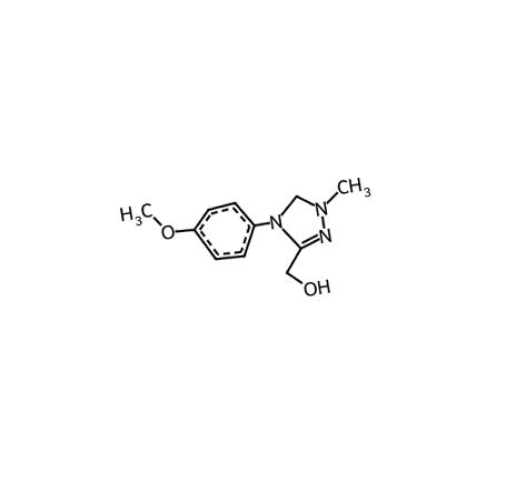 COc1ccc(N2CN(C)N=C2CO)cc1